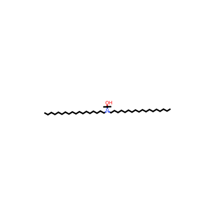 CCCCCCCCCCCCCCCCCCN(CCCCCCCCCCCCCCCCCC)C(C)(C)O